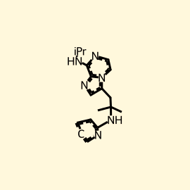 CC(C)Nc1nccn2c(CC(C)(C)Nc3ccccn3)cnc12